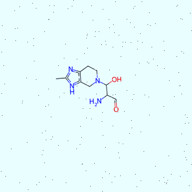 Cc1nc2c([nH]1)CN(C(O)C(N)C=O)CC2